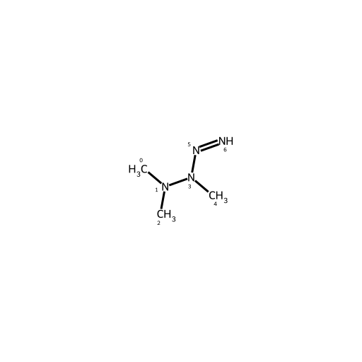 CN(C)N(C)N=N